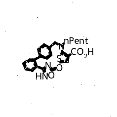 CCCCCN(Cc1ccc(-c2ccccc2-c2nc(=O)o[nH]2)cc1)c1sccc1C(=O)O